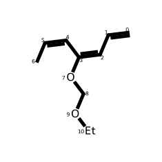 C=C/C=C(\C=C/C)OCOCC